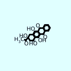 CC(=O)C1(O)Cc2c(O)c3c(c(O)c2[C@@H](O)C1)C(=O)c1ccccc1C3=O